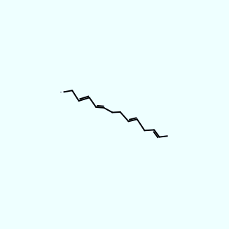 [CH2]CC=CC=CCCC=CCC=CC